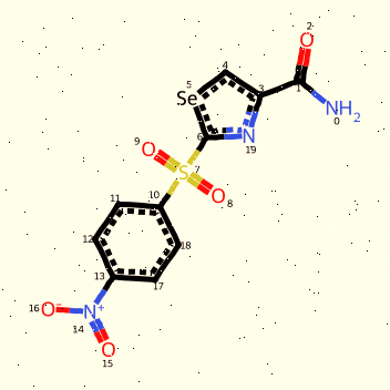 NC(=O)c1c[se]c(S(=O)(=O)c2ccc([N+](=O)[O-])cc2)n1